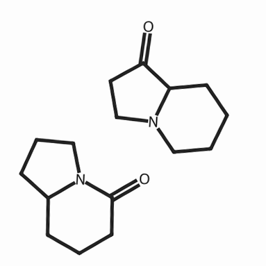 O=C1CCCC2CCCN12.O=C1CCN2CCCCC12